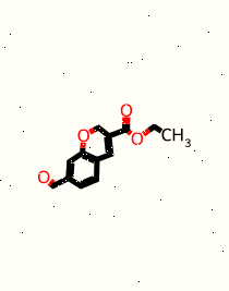 CCOC(=O)C1=Cc2ccc(C=O)cc2OC1